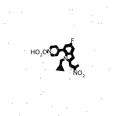 C/C(=C\c1cc2cc(F)cc(C3CCN(C(=O)O)CC3)c2n1CC1CC1)[N+](=O)[O-]